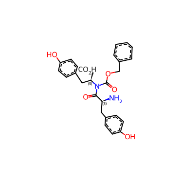 N[C@@H](Cc1ccc(O)cc1)C(=O)N(C(=O)OCc1ccccc1)[C@@H](Cc1ccc(O)cc1)C(=O)O